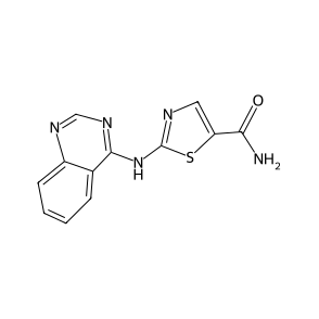 NC(=O)c1cnc(Nc2ncnc3ccccc23)s1